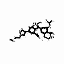 COCCn1cc(-c2cc(C#N)c3c(-c4cc(OC(F)F)c5c(c4)[C@@H](C)CNC5=O)n(C)nc3c2)cn1